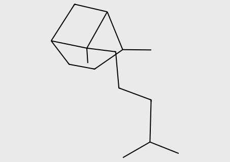 CC(C)CCCC1(C)C2CCC(C)C1C2